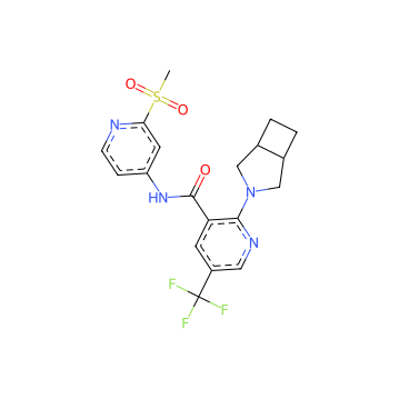 CS(=O)(=O)c1cc(NC(=O)c2cc(C(F)(F)F)cnc2N2CC3CCC3C2)ccn1